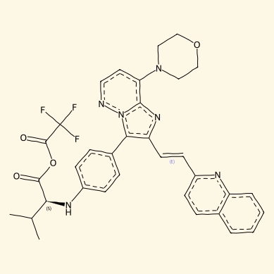 CC(C)[C@H](Nc1ccc(-c2c(/C=C/c3ccc4ccccc4n3)nc3c(N4CCOCC4)ccnn23)cc1)C(=O)OC(=O)C(F)(F)F